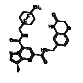 CC12CCC(CNC(=O)c3cc(C(=O)NCc4ccc5c(c4)NC(=O)CO5)nc4c(F)cnn34)(CC1)CC2